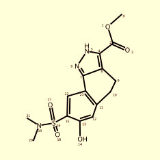 COC(=O)c1[nH]nc2c1CCc1cc(O)c(S(=O)(=O)N(C)C)cc1-2